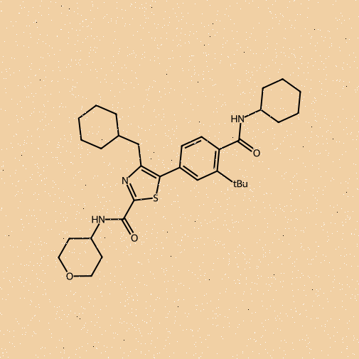 CC(C)(C)c1cc(-c2sc(C(=O)NC3CCOCC3)nc2CC2CCCCC2)ccc1C(=O)NC1CCCCC1